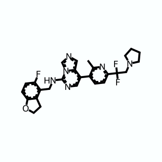 Cc1nc(C(F)(F)CN2CCCC2)ccc1-c1cnc(NCc2c(F)ccc3c2CCO3)n2cncc12